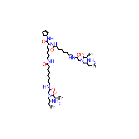 CC(C)CC(=O)N(CC(=O)NCCCCCCCC(=O)NCCCCC[C@H](NC(=O)CCCCCCCNC(=O)CN(C[C@@H](N)CC(C)C)C(=O)CC(C)C)C(=O)N[C@@H]1C=CCC1)C[C@@H](N)CC(C)C